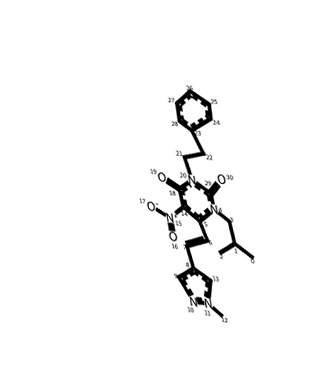 CC(C)Cn1c(C=Cc2cnn(C)c2)c([N+](=O)[O-])c(=O)n(CCc2ccccc2)c1=O